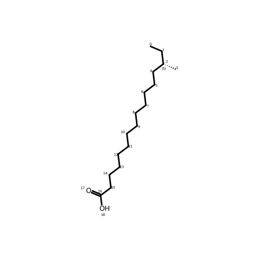 CC[C@H](C)CCCCCCCCCCCCC(=O)O